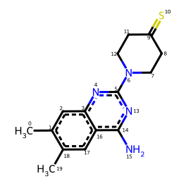 Cc1cc2nc(N3CCC(=S)CC3)nc(N)c2cc1C